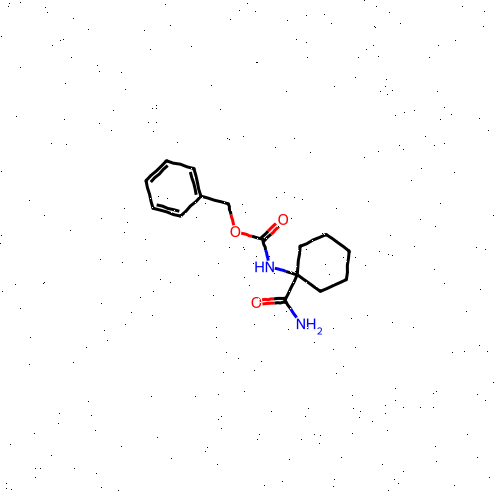 NC(=O)C1(NC(=O)OCc2ccccc2)CCCCC1